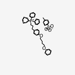 Cc1ccc(S(=O)(=O)[O-])cc1.c1ccc(OCCCCOc2ccc(CCC[P+](c3ccccc3)(c3ccccc3)c3ccccc3)cc2)cc1